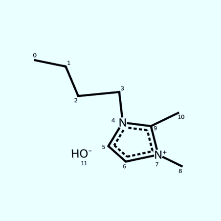 CCCCn1cc[n+](C)c1C.[OH-]